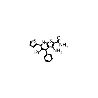 CC(C)c1c(-c2cccs2)nc2sc(C(N)=O)c(N)c2c1-c1ccccc1